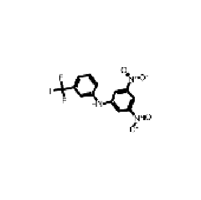 O=[N+]([O-])c1cc(Nc2cccc(C(F)(F)F)c2)cc([N+](=O)[O-])c1